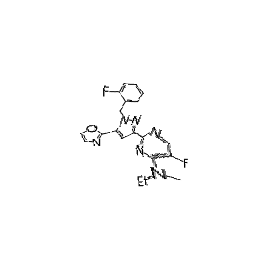 CCN(C)c1nc(-c2cc(-c3ncco3)n(Cc3ccccc3F)n2)ncc1F